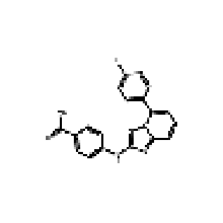 O=C(O)c1ccc(Nc2nc3cccc(-c4ccc(F)cc4)n3n2)cc1